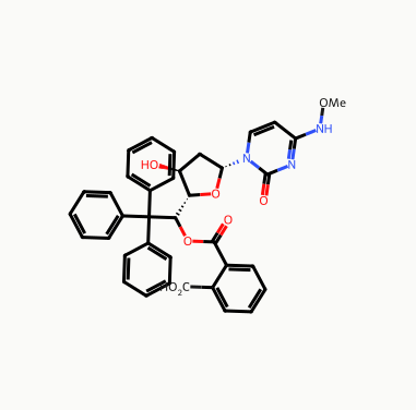 CONc1ccn([C@H]2C[C@H](O)[C@@H](C(OC(=O)c3ccccc3C(=O)O)C(c3ccccc3)(c3ccccc3)c3ccccc3)O2)c(=O)n1